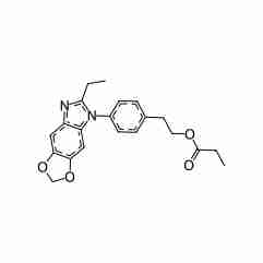 CCC(=O)OCCc1ccc(-n2c(CC)nc3cc4c(cc32)OCO4)cc1